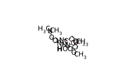 COc1ccc(OC)c(C(c2c(C)cccc2C)N(C(=O)O)c2ccnc(Nc3ccc(OCCN(C)C)cc3)n2)c1